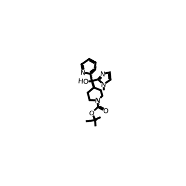 Cn1ccnc1C(O)(c1ccccn1)C1CCN(C(=O)OC(C)(C)C)CC1